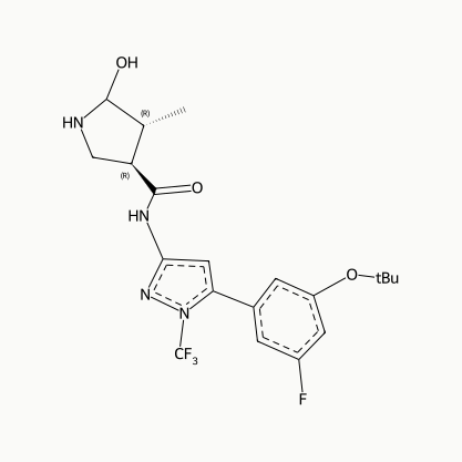 C[C@H]1C(O)NC[C@@H]1C(=O)Nc1cc(-c2cc(F)cc(OC(C)(C)C)c2)n(C(F)(F)F)n1